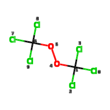 ClC(Cl)(Cl)OOC(Cl)(Cl)Cl